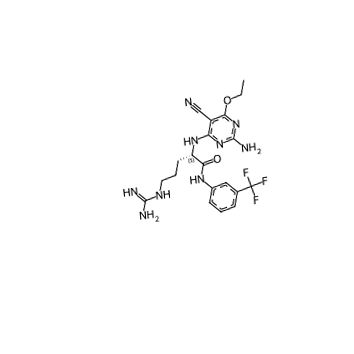 CCOc1nc(N)nc(N[C@@H](CCCNC(=N)N)C(=O)Nc2cccc(C(F)(F)F)c2)c1C#N